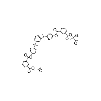 CCC(C)(OC(=O)c1cccc(C(=O)Oc2ccc(C(C)(C)c3cccc(C(C)(C)c4ccc(OC(=O)c5cccc(C(=O)OCC6CO6)c5)cc4)c3)cc2)c1)C1CO1